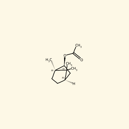 CC(=O)O[C@H]1C[C@H]2CC[C@]1(C)C2(C)C